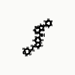 c1ccc(-c2cc3ncnc(Nc4ccc5c(ccn5CCN5CCOCC5)c4)c3s2)cc1